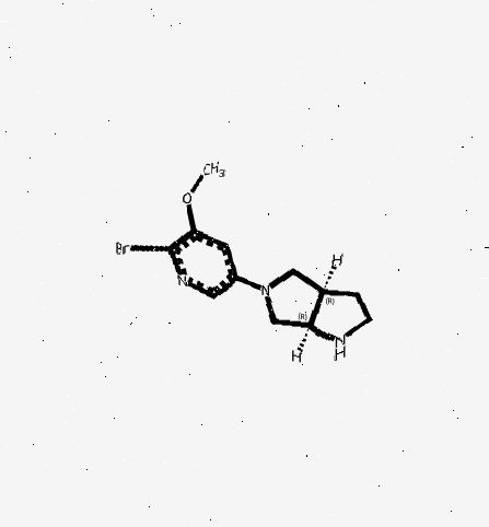 COc1cc(N2C[C@H]3CCN[C@H]3C2)cnc1Br